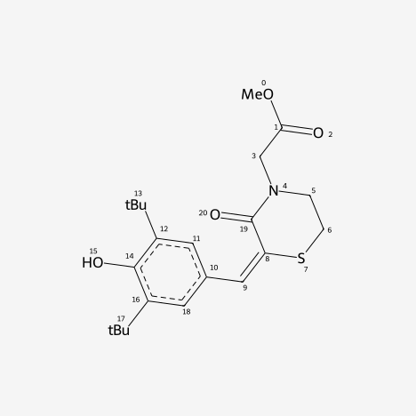 COC(=O)CN1CCS/C(=C/c2cc(C(C)(C)C)c(O)c(C(C)(C)C)c2)C1=O